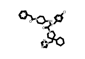 O=C(Cc1ccccc1)N1CCC(N[C@H](Cc2ccc(Cl)cc2)C(=O)N2CCC(Cn3cncn3)(C3CCCCC3)CC2)CC1